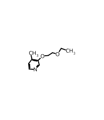 CCOCCOc1cnccc1C